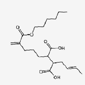 C=C(CCCC(C(=O)O)C(CC=CC)C(=O)O)C(=O)OCCCCCC